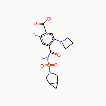 O=C(O)c1cc(N2CCC2)c(C(=O)NS(=O)(=O)N2CC3CC3C2)cc1F